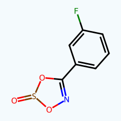 O=S1ON=C(c2cccc(F)c2)O1